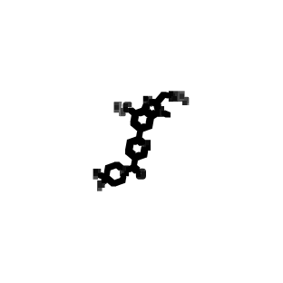 Cn1c(CN)nc2c(C(F)(F)F)cc(-c3ccc(C(=O)N4CCC(F)(F)CC4)cn3)cc21